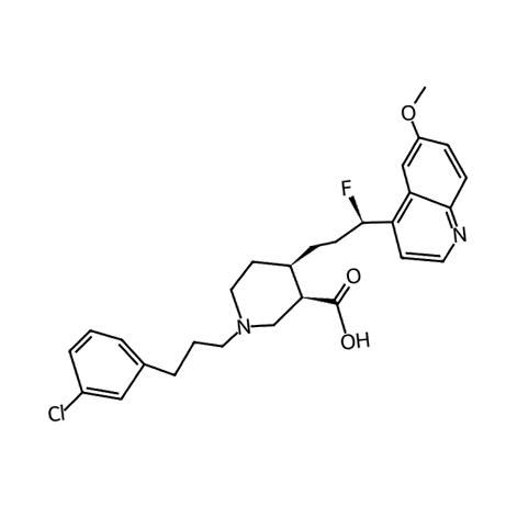 COc1ccc2nccc([C@H](F)CC[C@@H]3CCN(CCCc4cccc(Cl)c4)C[C@@H]3C(=O)O)c2c1